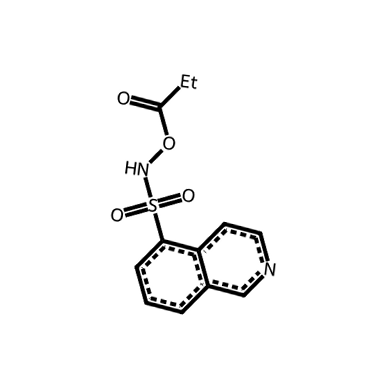 CCC(=O)ONS(=O)(=O)c1cccc2cnccc12